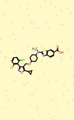 CN(c1nc2ccc(C(=O)O)cc2s1)C1CCC(OCc2c(-c3c(Cl)cccc3Cl)noc2C2CC2)CC1